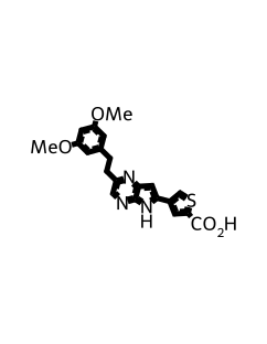 COc1cc(CCc2cnc3[nH]c(-c4csc(C(=O)O)c4)cc3n2)cc(OC)c1